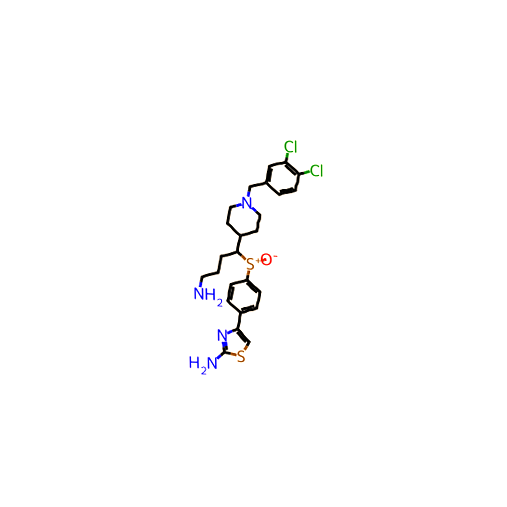 NCCCC(C1CCN(Cc2ccc(Cl)c(Cl)c2)CC1)[S+]([O-])c1ccc(-c2csc(N)n2)cc1